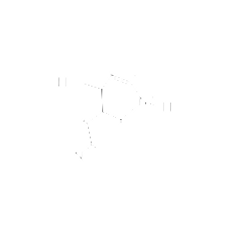 CC1C=CN(C)CC1CCN